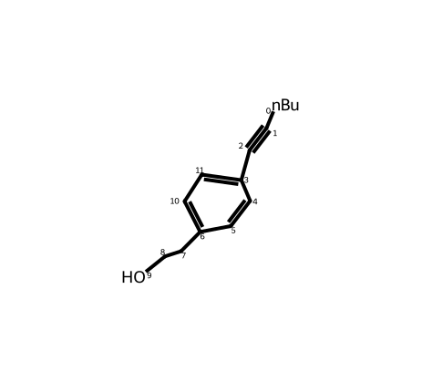 CCCCC#Cc1ccc(CCO)cc1